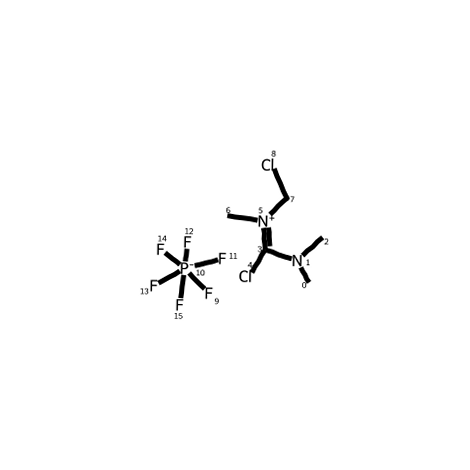 CN(C)C(Cl)=[N+](C)CCl.F[P-](F)(F)(F)(F)F